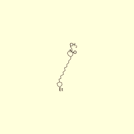 C=CCN1CCCC(CCCCCCCCCCCCC2CCC(CC)CC2)CC1=O